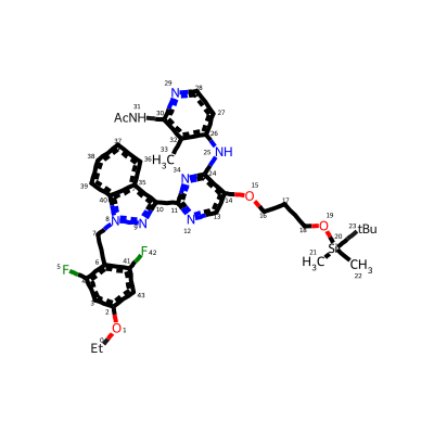 CCOc1cc(F)c(Cn2nc(-c3ncc(OCCCO[Si](C)(C)C(C)(C)C)c(Nc4ccnc(NC(C)=O)c4C)n3)c3ccccc32)c(F)c1